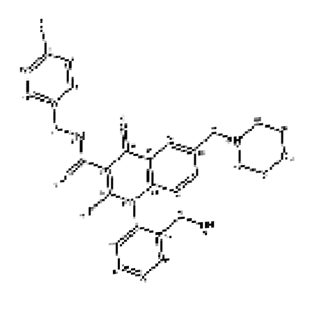 O=C(NCc1ccc(Cl)cc1)c1c(I)n(-c2ccccc2CO)c2ccc(CN3CCOCC3)cc2c1=O